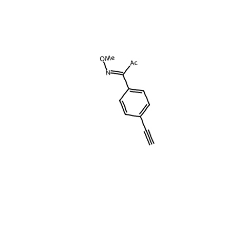 C#Cc1ccc(C(=NOC)C(C)=O)cc1